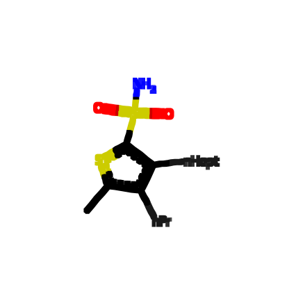 CCCCCCCc1c(S(N)(=O)=O)sc(C)c1CCC